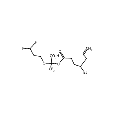 C=CCC(CC)CCC(=O)OC(OCCC(F)F)(C(=O)O)C(F)(F)F